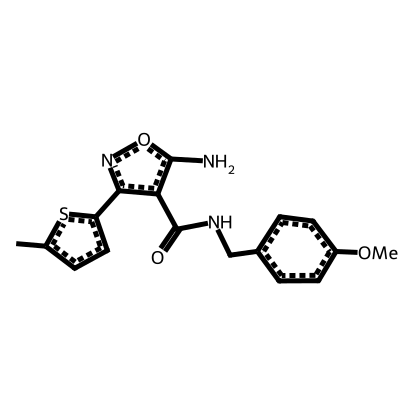 COc1ccc(CNC(=O)c2c(-c3ccc(C)s3)noc2N)cc1